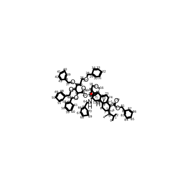 CC(C)[C@@H](C)[C@@]1(C)CC[C@]2(C)[C@H]3CC[C@@H]4[C@@]5(COC[C@]4(C)[C@@H](O[C@@H]4OC(COCc6ccccc6)[C@H](OCc6ccccc6)[C@H](OCc6ccccc6)C4OCc4ccccc4)[C@H](NCc4ccccc4)C5)C3=CC[C@@]2(C)[C@@H]1C(=O)OCc1ccccc1